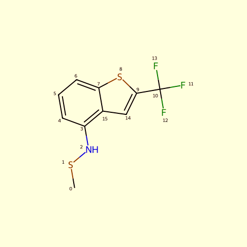 CSNc1cccc2sc(C(F)(F)F)cc12